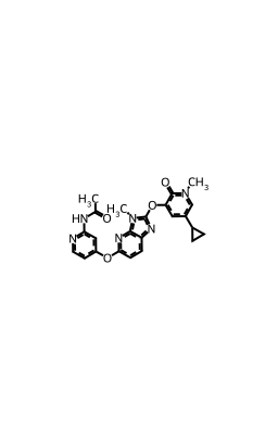 CC(=O)Nc1cc(Oc2ccc3nc(Oc4cc(C5CC5)cn(C)c4=O)n(C)c3n2)ccn1